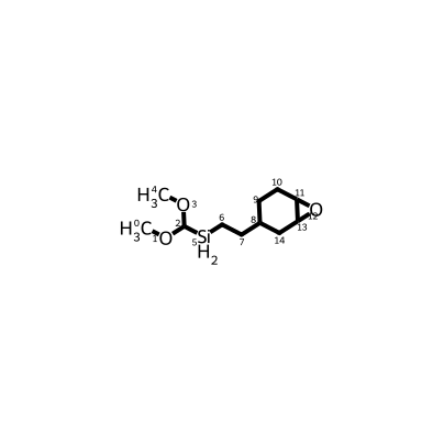 COC(OC)[SiH2]CCC1CCC2OC2C1